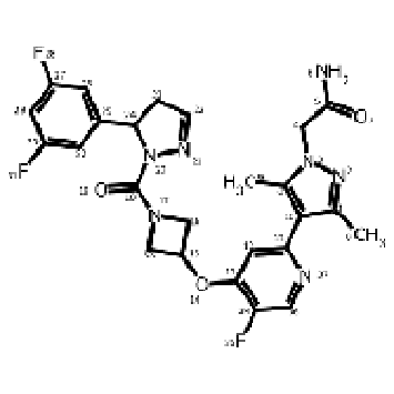 Cc1nn(CC(N)=O)c(C)c1-c1cc(OC2CN(C(=O)N3N=CCC3c3cc(F)cc(F)c3)C2)c(F)cn1